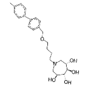 Cc1ccc(-c2ccc(COCCCCN3C[C@H](O)[C@@H](O)[C@H](O)[C@@H](O)C3)cc2)cc1